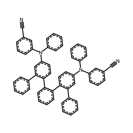 N#Cc1cccc(N(c2ccccc2)c2ccc(-c3ccccc3-c3ccc(N(c4ccccc4)c4cccc(C#N)c4)cc3-c3ccccc3)c(-c3ccccc3)c2)c1